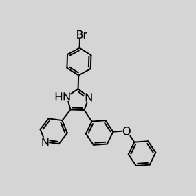 Brc1ccc(-c2nc(-c3cccc(Oc4ccccc4)c3)c(-c3ccncc3)[nH]2)cc1